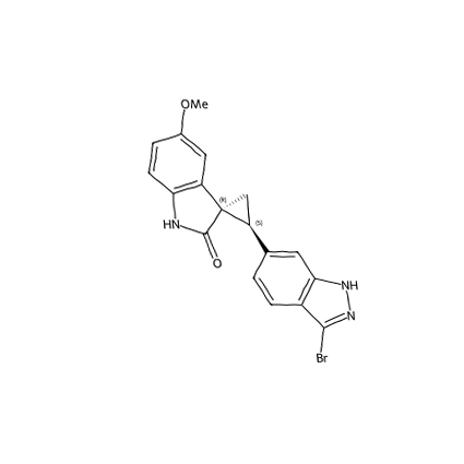 COc1ccc2c(c1)[C@]1(C[C@H]1c1ccc3c(Br)n[nH]c3c1)C(=O)N2